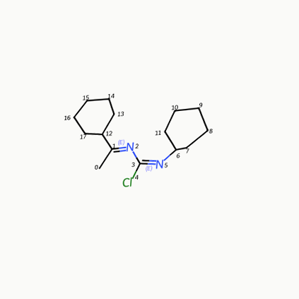 C/C(=N\C(Cl)=N/C1CCCCC1)C1CCCCC1